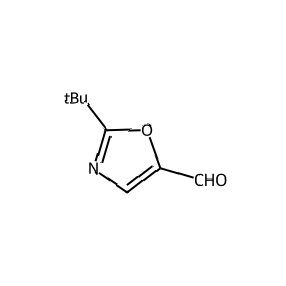 CC(C)(C)c1ncc(C=O)o1